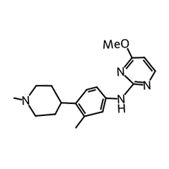 COc1ccnc(Nc2ccc(C3CCN(C)CC3)c(C)c2)n1